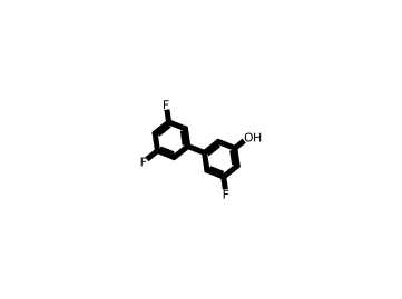 Oc1cc(F)cc(-c2cc(F)cc(F)c2)c1